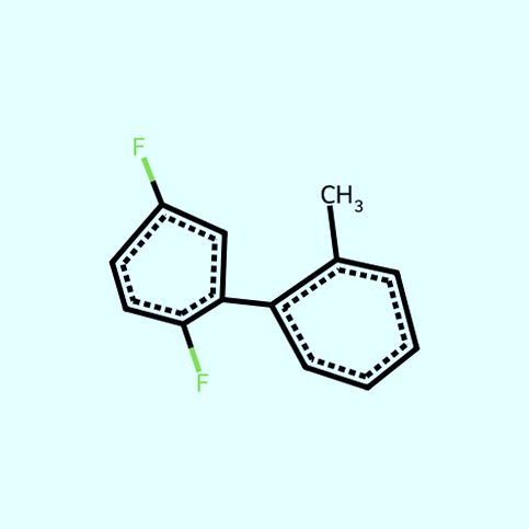 Cc1ccccc1-c1cc(F)ccc1F